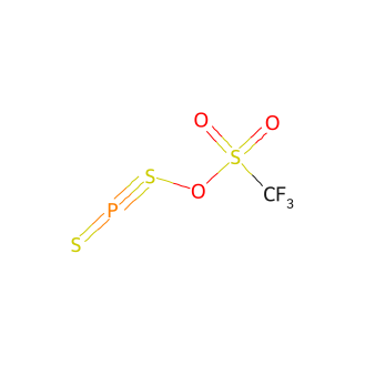 O=S(=O)(OS#P=S)C(F)(F)F